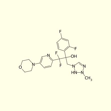 CN1N=CN(CC(O)(c2ccc(F)cc2F)C(F)(F)c2ccc(N3CCOCC3)cn2)N1